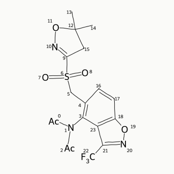 CC(=O)N(C(C)=O)c1c(CS(=O)(=O)C2=NOC(C)(C)C2)ccc2onc(C(F)(F)F)c12